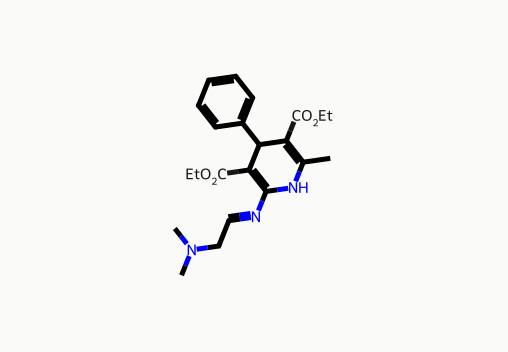 CCOC(=O)C1=C(C)NC(N=CCN(C)C)=C(C(=O)OCC)C1c1ccccc1